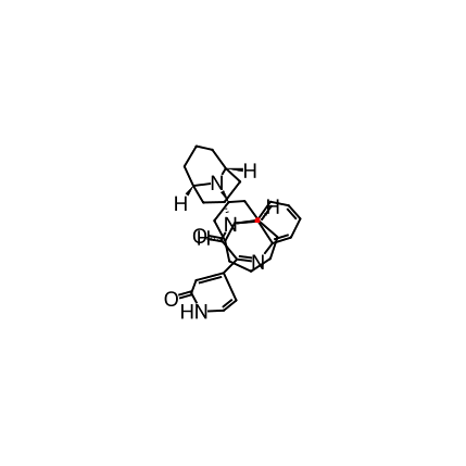 O=c1cc(-c2nc3ccccc3n([C@H]3C[C@H]4CCC[C@@H](C3)N4[C@@H]3C[C@@H]4CCCC[C@@H](C4)C3)c2=O)cc[nH]1